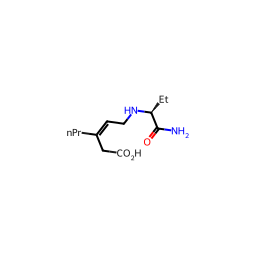 CCCC(=CCN[C@@H](CC)C(N)=O)CC(=O)O